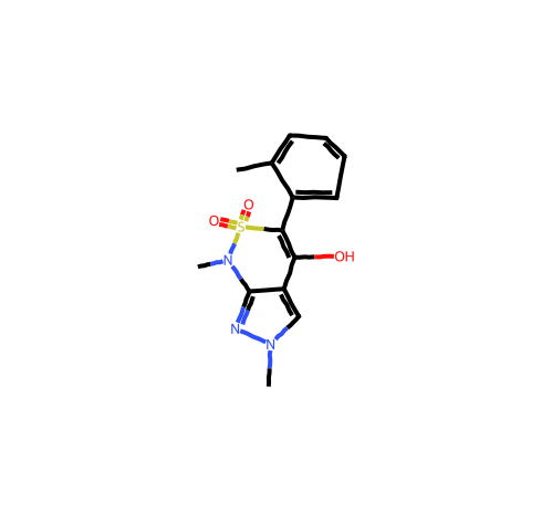 Cc1ccccc1C1=C(O)c2cn(C)nc2N(C)S1(=O)=O